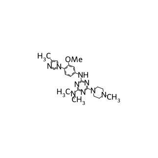 COc1cc(Nc2nc(N(C)C)nc(N3CCN(C)CC3)n2)ccc1-n1cnc(C)c1